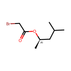 CC(C)C[C@@H](C)OC(=O)CBr